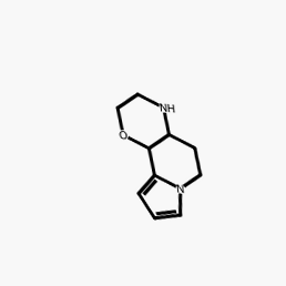 c1cc2n(c1)CCC1NCCOC21